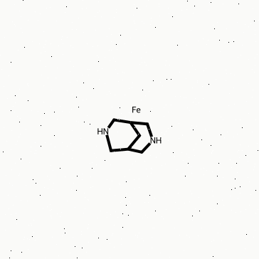 C1NCC2CNCC1C2.[Fe]